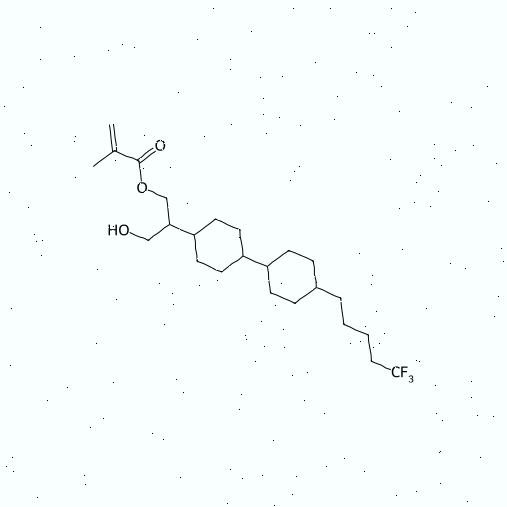 C=C(C)C(=O)OCC(CO)C1CCC(C2CCC(CCCCC(F)(F)F)CC2)CC1